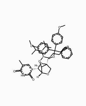 COc1ccc(C(OC[C@@]23CO[C@H]([C@H](n4cc(C)c(=O)[nH]c4=O)O2)[C@H]3OP(OCCC#N)N(C(C)C)C(C)C)(c2ccccc2)c2ccc(OC)cc2)cc1